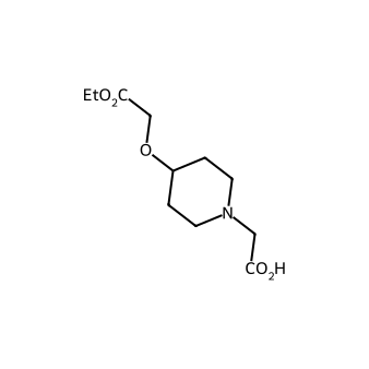 CCOC(=O)COC1CCN(CC(=O)O)CC1